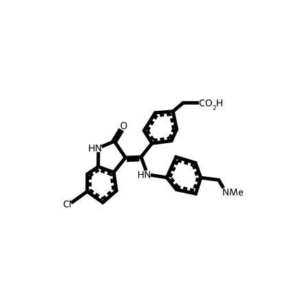 CNCc1ccc(NC(=C2C(=O)Nc3cc(Cl)ccc32)c2ccc(CC(=O)O)cc2)cc1